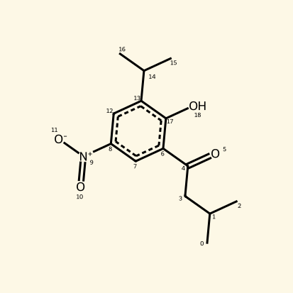 CC(C)CC(=O)c1cc([N+](=O)[O-])cc(C(C)C)c1O